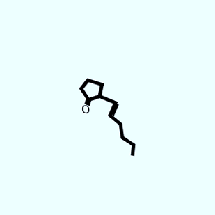 CCCCC=CC1CCCC1=O